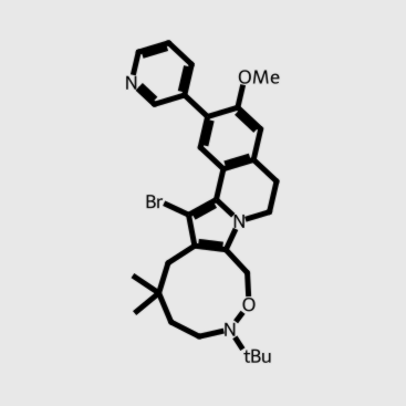 COc1cc2c(cc1-c1cccnc1)-c1c(Br)c3c(n1CC2)CON(C(C)(C)C)CCC(C)(C)C3